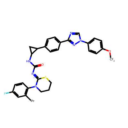 CC(C)c1cc(F)ccc1N1CCCS/C1=N\C(=O)NC1CC1c1ccc(-c2ncn(-c3ccc(OC(F)(F)F)cc3)n2)cc1